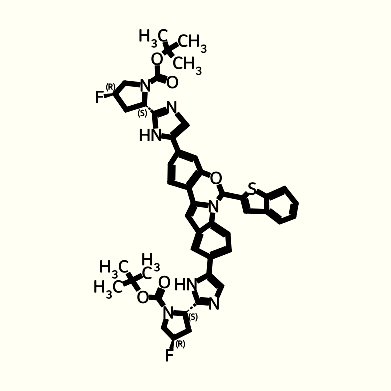 CC(C)(C)OC(=O)N1C[C@H](F)C[C@H]1c1ncc(-c2ccc3c(c2)OC(c2cc4ccccc4s2)n2c-3cc3cc(-c4cnc([C@@H]5C[C@@H](F)CN5C(=O)OC(C)(C)C)[nH]4)ccc32)[nH]1